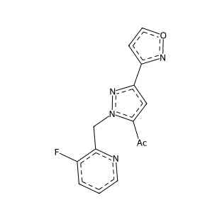 CC(=O)c1cc(-c2ccon2)nn1Cc1ncccc1F